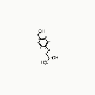 CC(O)CCc1ccc(CO)cc1